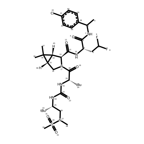 CC(NC(=O)[C@H](CC(F)F)NC(=O)[C@@H]1[C@@H]2[C@H](CN1C(=O)[C@@H](NC(=O)N[C@H](CN(C)S(C)(=O)=O)C(C)(C)C)C(C)(C)C)C2(C)C)c1ccc(Cl)cc1